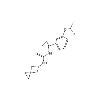 O=C(NC1CC2(CC2)C1)NC1(c2cccc(OC(F)F)c2)CC1